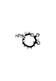 CCCN1CCCCCCC(=O)CC(=O)OCC1